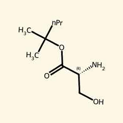 CCCC(C)(C)OC(=O)[C@H](N)CO